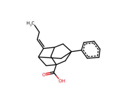 CCC=C1C2CC3(C(=O)O)CC1CC(c1ccccc1)(C2)C3